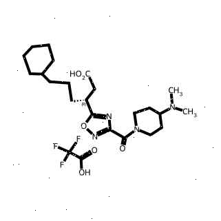 CN(C)C1CCN(C(=O)c2noc([C@H](CCCC3CCCCC3)CC(=O)O)n2)CC1.O=C(O)C(F)(F)F